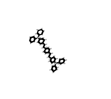 C1=CC(N(c2ccccc2)c2ccc(/C=C/c3ccc(/C=C/c4ccc(N(c5ccccc5)c5ccccc5)cc4)cc3)cc2)=CCC1